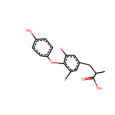 CC(Cc1cc(I)c(Oc2ccc(O)cc2)c(I)c1)C(=O)O